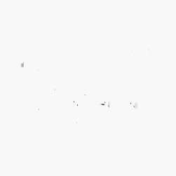 CC(C)OCOC(=O)[C@@H]1N2C(=O)[C@@H](NC(=O)C(N)c3ccc4c(c3)OCO4)[C@H]2SC1(C)C